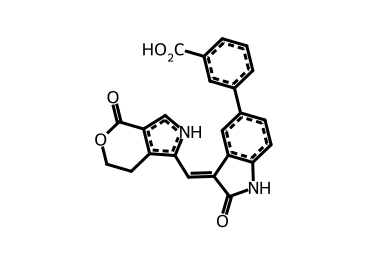 O=C1Nc2ccc(-c3cccc(C(=O)O)c3)cc2C1=Cc1[nH]cc2c1CCOC2=O